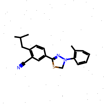 Cc1ccc[c]c1N1CSC(c2ccc(CC(C)C)c(C#N)c2)=N1